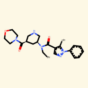 CCCc1c(C(=O)N(CC(C)C)[C@@H]2CNC[C@H](C(=O)N3CCOCC3)C2)cnn1-c1ccccc1